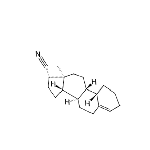 C[C@]12CC[C@H]3[C@@H](CCC4=CCCC[C@H]43)[C@@H]1CC[C@@H]2C#N